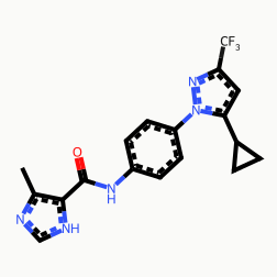 Cc1nc[nH]c1C(=O)Nc1ccc(-n2nc(C(F)(F)F)cc2C2CC2)cc1